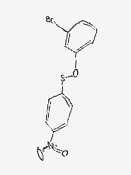 O=[N+]([O-])c1ccc(SOc2cccc(Br)c2)cc1